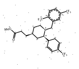 COC(=O)CC[C@H]1CCN(Cc2cc(C(F)(F)F)ccc2C(F)(F)F)[C@@H](C2C=CC(C(F)(F)F)=CC2)C1